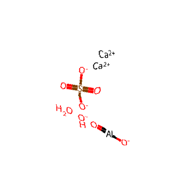 O.O=S(=O)([O-])[O-].[Ca+2].[Ca+2].[OH-].[O]=[Al][O-]